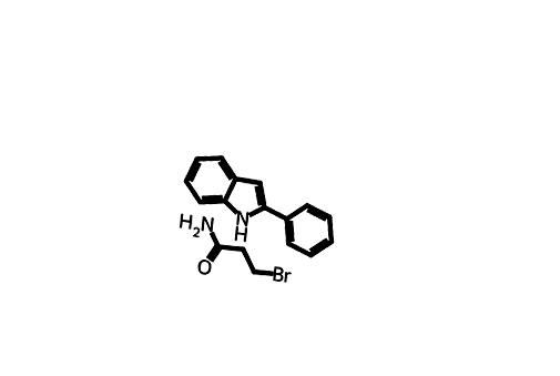 NC(=O)CCBr.c1ccc(-c2cc3ccccc3[nH]2)cc1